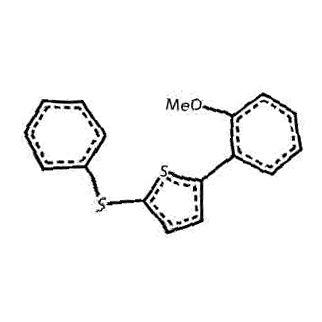 COc1ccccc1-c1ccc(Sc2ccccc2)s1